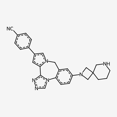 N#Cc1ccc(-c2cc3n(c2)Cc2cc(N4CC5(CCCNC5)C4)ccc2-n2cnnc2-3)cc1